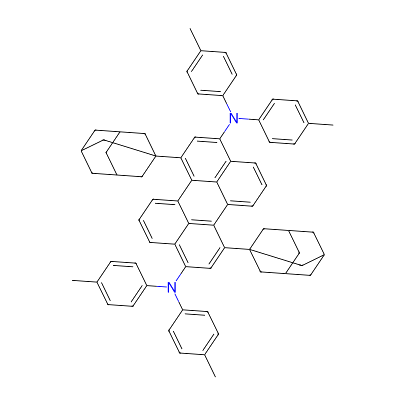 Cc1ccc(N(c2ccc(C)cc2)c2cc(C34CC5CC(CC(C5)C3)C4)c3c4cccc5c(N(c6ccc(C)cc6)c6ccc(C)cc6)cc(C67CC8CC(CC(C8)C6)C7)c(c6cccc2c63)c54)cc1